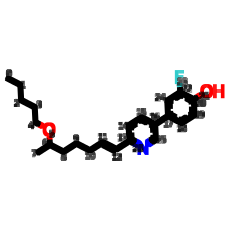 CCCCCOC(C)CCCC=Cc1ccc(-c2ccc(O)c(F)c2)cn1